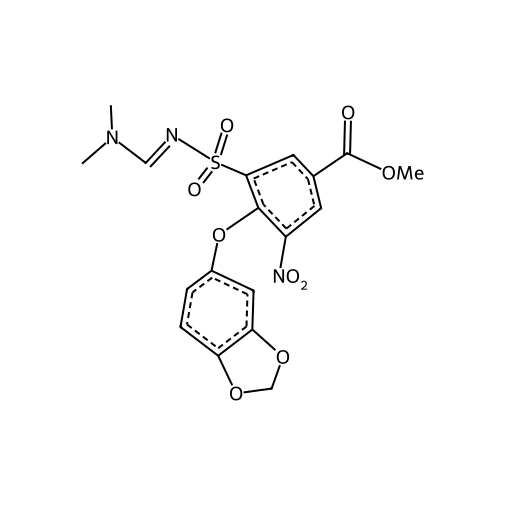 COC(=O)c1cc([N+](=O)[O-])c(Oc2ccc3c(c2)OCO3)c(S(=O)(=O)N=CN(C)C)c1